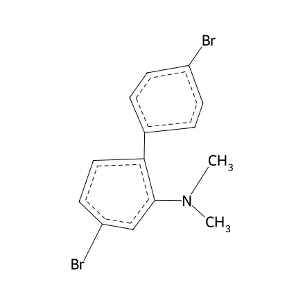 CN(C)c1cc(Br)ccc1-c1ccc(Br)cc1